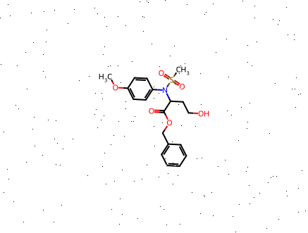 COc1ccc(N(C(CCO)C(=O)OCc2ccccc2)S(C)(=O)=O)cc1